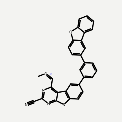 C/N=C\c1nc(C#N)nc2sc3ccc(-c4cccc(-c5ccc6oc7ccccc7c6c5)c4)cc3c12